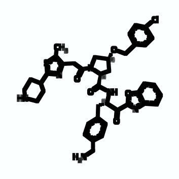 Cc1sc(C2CCNCC2)nc1CC(=O)N1C[C@H](OCc2ccc(Cl)cc2)C[C@H]1C(=O)N[C@@H](Cc1ccc(CN)cc1)C(=O)c1nc2ccccc2o1